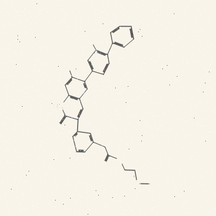 COCCOC(=O)Cc1cccc(-c2cc3cc(-c4ccc(-c5ccccc5)c(O)c4)c(Cl)cc3[nH]c2=O)c1